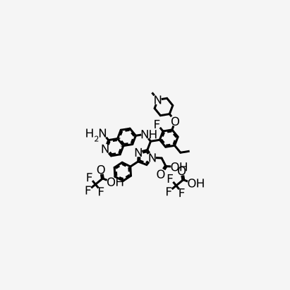 CCc1cc(OC2CCN(C)CC2)c(F)c(C(Nc2ccc3c(N)nccc3c2)c2nc(-c3ccccc3)cn2CC(=O)O)c1.O=C(O)C(F)(F)F.O=C(O)C(F)(F)F